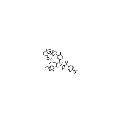 CCC1CN(Cc2cc([C@@H](c3ccc4c(nnn4CC)c3C)C(C)(C)NC(=O)c3cnc(N(C)C)nc3)ccc2C)S(O)(O)c2ccccc2O1